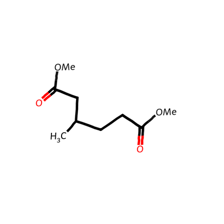 COC(=O)CCC(C)CC(=O)OC